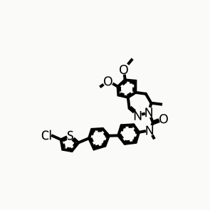 COc1cc2c(cc1OC)CC(C)N(C(=O)N(C)c1ccc(-c3ccc(-c4ccc(Cl)s4)cc3)cc1)N=C2